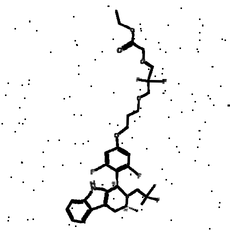 CCOC(=O)COCC(F)(F)COCCCOc1cc(F)c([C@@H]2c3[nH]c4ccccc4c3C[C@@H](C)N2CC(C)(C)F)c(F)c1